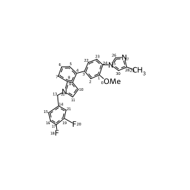 COc1cc(-c2cccc3c2ccn3Cc2ccc(F)c(F)c2)ccc1-n1cnc(C)c1